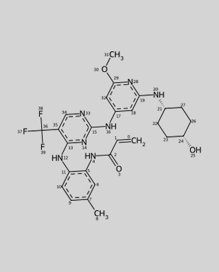 C=CC(=O)Nc1cc(C)ccc1Nc1nc(Nc2cc(N[C@H]3CC[C@@H](O)CC3)nc(OC)c2)ncc1C(F)(F)F